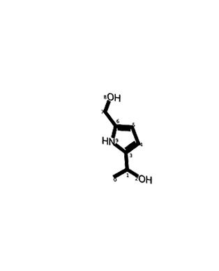 CC(O)c1ccc(CO)[nH]1